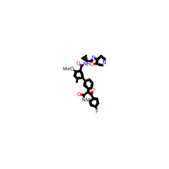 CNC(=O)c1c(-c2ccc(F)cc2)oc2ccc(-c3cc(C(=O)NC4(c5nc6ccncc6o5)CC4)c(OC)cc3C)cc12